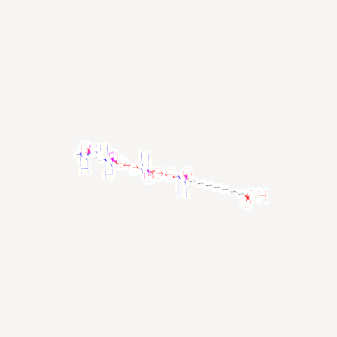 CCN[C@@H](CCCCNC(=O)COCCOCCNC(=O)COCCOCCNC(=O)CCCCCCCCCCCCCCC(=O)O)C(N)=O